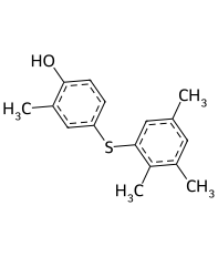 Cc1cc(C)c(C)c(Sc2ccc(O)c(C)c2)c1